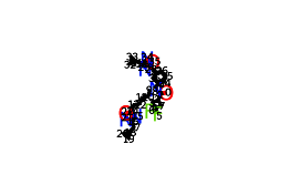 O=C(C1CC(F)(F)C1)N(CCCCCc1nc(CC2CC2)no1)c1cccc(-c2nc(C3CC3)no2)c1